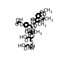 CO[C@@]1(NC(=O)C(NC(=O)c2c(C)oc3c(OC(C)=O)c(OC(C)=O)ccc3c2=O)c2ccc(OCC(=O)O)cc2)C(=O)N2C(C(=O)O)=C(CSc3nnnn3CC(=O)O)CS[C@H]21